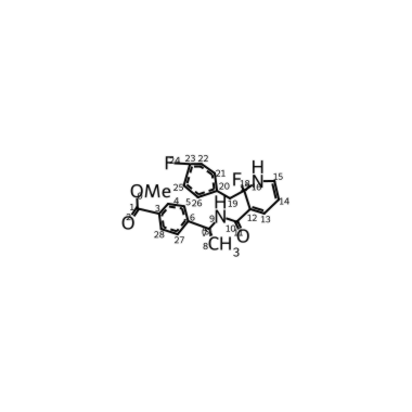 COC(=O)c1ccc([C@H](C)NC(=O)C2=CC=CNC2(F)Cc2ccc(F)cc2)cc1